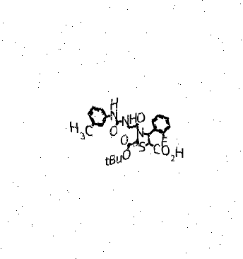 Cc1cccc(NC(=O)NCC(=O)N2C(c3ccccc3F)C(C(=O)O)S[C@H]2C(=O)OC(C)(C)C)c1